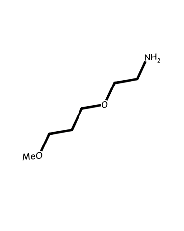 [CH2]OCCCOCCN